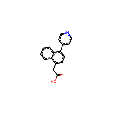 O=C(O)Cc1ccc(-c2ccncc2)c2ccccc12